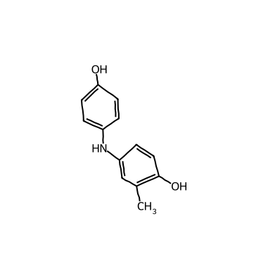 Cc1cc(Nc2ccc(O)cc2)ccc1O